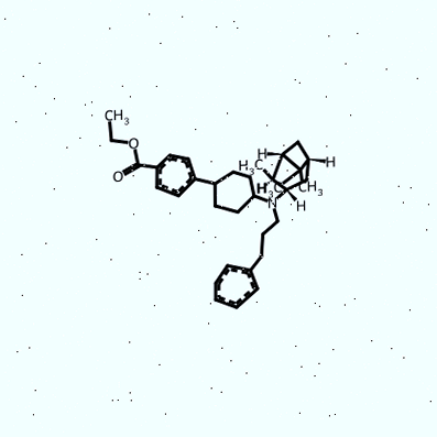 CCOC(=O)c1ccc(C2CCC(N(CCCc3ccccc3)[C@H]3C[C@H]4C[C@@H]([C@@H]3C)C4(C)C)CC2)cc1